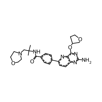 CC(C)(CN1CCOCC1)NC(=O)c1ccc(-c2ccc3nc(N)nc(O[C@H]4CCOC4)c3n2)cc1